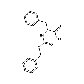 O=C(NC(Cc1ccccc1)C(O)=S)OCc1ccccc1